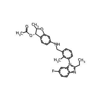 CCc1nc2ccc(F)cc2n1-c1cccc(CNc2ccc3c(c2)OC(C)[C@H]3OC(C)=O)c1C